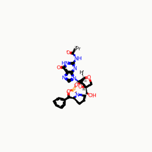 CC(C)C(=O)Nc1nc2c(ncn2[C@@H]2O[C@@]3(CO)CO[C@H]2C3OP2OC(c3ccccc3)C3CCCN32)c(=O)[nH]1